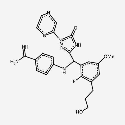 COc1cc(CCCO)c(F)c(C(Nc2ccc(C(=N)N)cc2)c2nn(-c3cnccn3)c(=O)[nH]2)c1